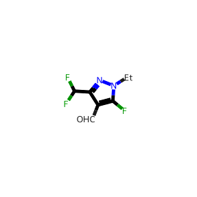 CCn1nc(C(F)F)c(C=O)c1F